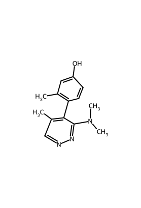 Cc1cc(O)ccc1-c1c(C)cnnc1N(C)C